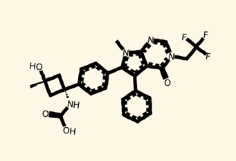 Cn1c(-c2ccc([C@]3(NC(=O)O)C[C@@](C)(O)C3)cc2)c(-c2ccccc2)c2c(=O)n(CC(F)(F)F)cnc21